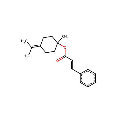 CC(C)=C1CCC(C)(OC(=O)C=Cc2ccccc2)CC1